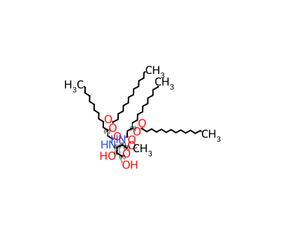 CCCCCCCCCCCCCC(=O)O[C@H](CCCCCCCCCCC)CC(=O)N[C@H]1[C@H](OC)O[C@H](CO)[C@@H](O)[C@@H]1NC(=O)C[C@@H](CCCCCCCCCCC)OC(=O)CCCCCCCCCCCCC